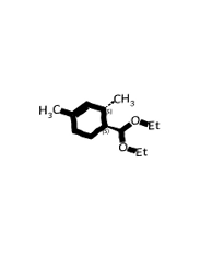 CCOC(OCC)[C@H]1CCC(C)=C[C@@H]1C